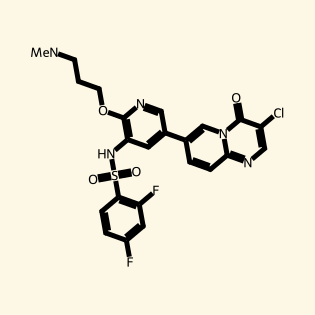 CNCCCOc1ncc(-c2ccc3ncc(Cl)c(=O)n3c2)cc1NS(=O)(=O)c1ccc(F)cc1F